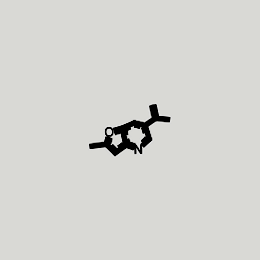 C=C(C)c1cnc2cc(C)oc2c1